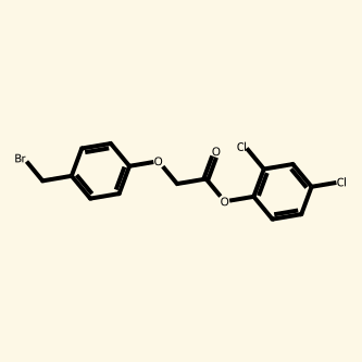 O=C(COc1ccc(CBr)cc1)Oc1ccc(Cl)cc1Cl